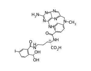 CN(Cc1cnc2nc(N)nc(N)c2n1)c1ccc(C(=O)N[C@@H](CCCNC(=O)c2cc(I)ccc2C(O)O)C(=O)O)cc1